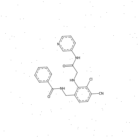 N#Cc1ccc(CNC(=O)c2ccccc2)c(NCC(=O)Nc2cccnc2)c1Cl